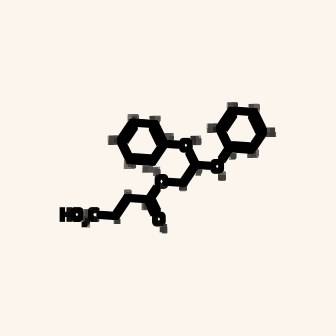 O=C(O)CCC(=O)OCC(Oc1ccccc1)Oc1ccccc1